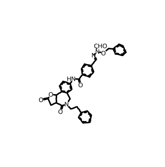 O=CN(/N=C/c1ccc(C(=O)Nc2ccc3c(c2)CN(CCc2ccccc2)C(=O)C2CC(=O)OC32)cc1)OCc1ccccc1